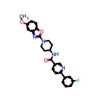 COc1ccc2oc(N3CCC(NC(=O)c4ccc(-c5cccc(F)c5)nc4)CC3)nc2c1